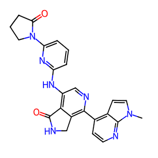 Cn1ccc2c(-c3ncc(Nc4cccc(N5CCCC5=O)n4)c4c3CNC4=O)ccnc21